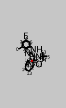 Cc1cc(F)cc2[nH]c(CN3CC4CCC(C3)N4CC(=O)NC(C)(C)C)nc12